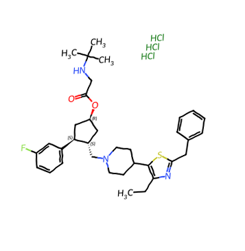 CCc1nc(Cc2ccccc2)sc1C1CCN(C[C@H]2C[C@H](OC(=O)CNC(C)(C)C)C[C@@H]2c2cccc(F)c2)CC1.Cl.Cl.Cl